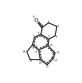 O=C1CCCc2c1cc1c3c(cccc23)CC1